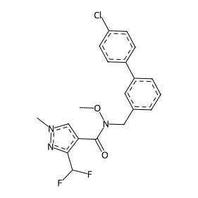 CON(Cc1cccc(-c2ccc(Cl)cc2)c1)C(=O)c1cn(C)nc1C(F)F